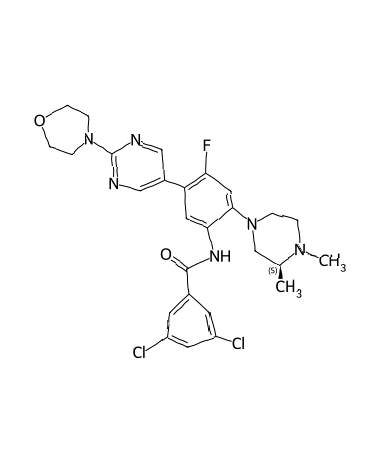 C[C@H]1CN(c2cc(F)c(-c3cnc(N4CCOCC4)nc3)cc2NC(=O)c2cc(Cl)cc(Cl)c2)CCN1C